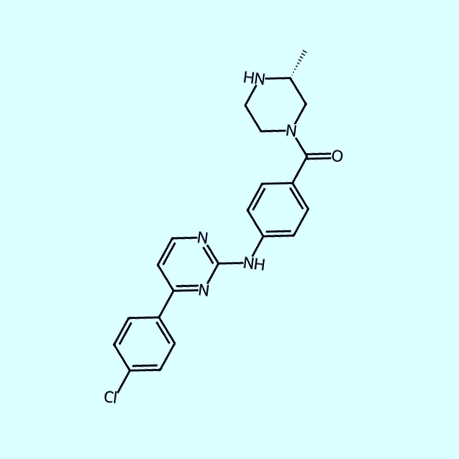 C[C@@H]1CN(C(=O)c2ccc(Nc3nccc(-c4ccc(Cl)cc4)n3)cc2)CCN1